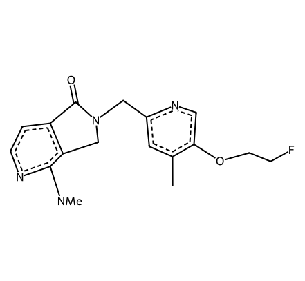 CNc1nccc2c1CN(Cc1cc(C)c(OCCF)cn1)C2=O